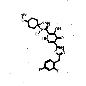 CCCOC1CCC(NC)(N(CC)C(=O)c2[nH]cc(-c3nnc(Cc4ccc(F)cc4F)s3)c(=O)c2O)CC1